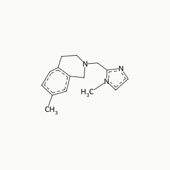 Cc1ccc2c(c1)CN(Cc1nccn1C)CC2